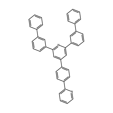 c1ccc(-c2cccc(-c3cc(-c4ccc(-c5ccccn5)cc4)cc(-c4cccc(-c5ccccc5)c4)n3)c2)cc1